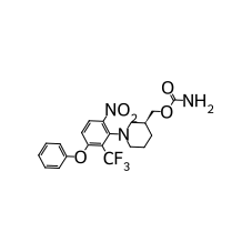 NC(=O)OC[C@H]1CCCN(c2c([N+](=O)[O-])ccc(Oc3ccccc3)c2C(F)(F)F)C1